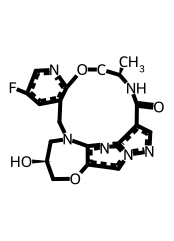 C[C@@H]1COc2ncc(F)cc2CN2C[C@H](O)COc3cn4ncc(c4nc32)C(=O)N1